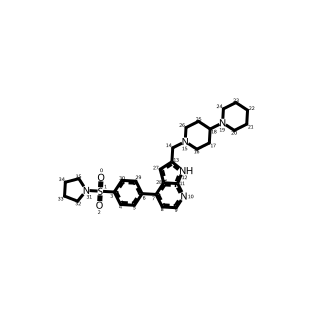 O=S(=O)(c1ccc(-c2ccnc3[nH]c(CN4CCC(N5CCCCC5)CC4)cc23)cc1)N1CCCC1